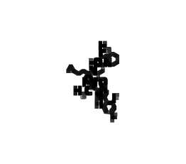 CC1CCCCN1C(=O)CC(NC(=O)CCC1CC1)C(=O)N[C@@H](C)c1ncc(-c2ccc(F)cc2F)[nH]1